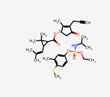 C#CCC1=C(C)[C@@H](OC(=O)C2C(C=C(C)C)C2(C)C)CC1=O.CCOP(=O)(NC(C)C)Oc1ccc(SC)c(C)c1